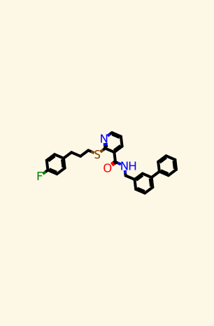 O=C(NCc1cccc(-c2ccccc2)c1)c1cccnc1SCCCc1ccc(F)cc1